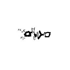 Cc1cc(C)cc(NC(=O)N2CC(N3CCCCCC3)C2)c1